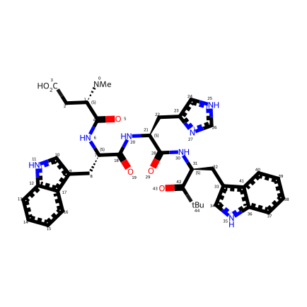 CN[C@@H](CC(=O)O)C(=O)N[C@@H](Cc1c[nH]c2ccccc12)C(=O)N[C@@H](Cc1c[nH]cn1)C(=O)N[C@@H](Cc1c[nH]c2ccccc12)C(=O)C(C)(C)C